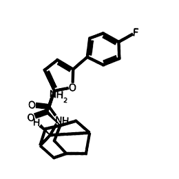 NC(=O)[C@]12CC3CC(C1)[C@@H](NC(=O)c1ccc(-c4ccc(F)cc4)o1)C(C3)C2